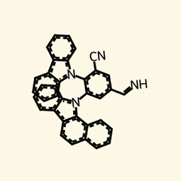 N#Cc1cc(C=N)cc(-n2c3ccccc3c3ccc4ccccc4c32)c1-n1c2ccccc2c2ccccc21